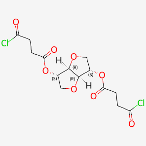 O=C(Cl)CCC(=O)O[C@H]1CO[C@H]2[C@@H]1OC[C@@H]2OC(=O)CCC(=O)Cl